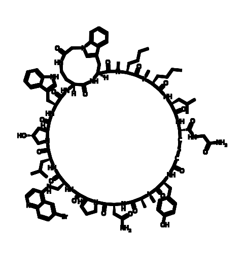 CCCC[C@H]1C(=O)N(C)[C@@H](CCCC)C(=O)N[C@@H](CC(C)C)C(=O)N[C@H](C(=O)NCC(N)=O)CSCC(=O)N[C@@H](Cc2ccc(O)cc2)C(=O)N(C)[C@@H](C)C(=O)N[C@@H](CC(N)=O)C(=O)N2CCC[C@H]2C(=O)N[C@@H](CNc2ccnc3ccc(Br)cc23)C(=O)N[C@@H](CC(C)C)C(=O)N2C[C@H](O)C[C@H]2C(=O)N[C@@H](Cc2c[nH]c3ccccc23)C(=O)N[C@H]2CCNC(=O)Cn3cc(c4ccccc43)C[C@H](NC2=O)C(=O)N1C